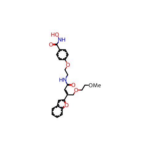 COCCOCC(=CC(=O)NCCOc1ccc(C(=O)NO)cc1)c1cc2ccccc2o1